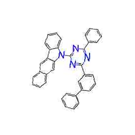 c1ccc(-c2cccc(-c3nc(-c4ccccc4)nc(-n4c5ccccc5c5cc6ccccc6cc54)n3)c2)cc1